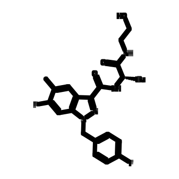 Cc1cc2c(C(=O)N[C@H](C(=O)NCCO)C(C)(C)C)nn(Cc3ccc(F)cc3)c2cc1F